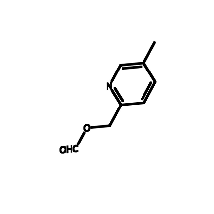 Cc1ccc(COC=O)nc1